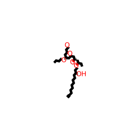 C#CCCCCCCCC[C@@H](O)CCOC(CC)C[C@H](CC1C[C@H](OCCCC)CC(CC=O)O1)OC